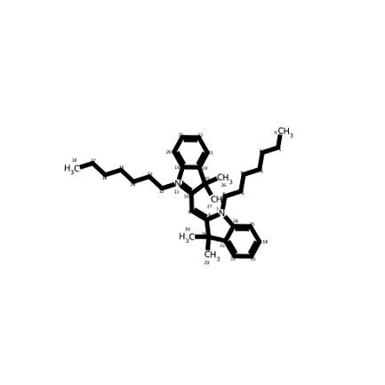 CCCCCCCN1C(=CC2=[N+](CCCCCCC)c3ccccc3C2(C)C)C(C)(C)c2ccccc21